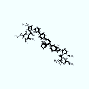 C=C(/C=C\C(=C1/CC2CCC1C2)c1ccc2nc([C@@H]3CC[C@H](CC)N3C(=O)[C@@H](NC(=O)OC)C(C)C)[nH]c2c1)c1ccc(-c2cnc([C@@H]3C[C@H](C)CN3C(=O)[C@@H](NC(=O)OC)C(C)C)[nH]2)cc1